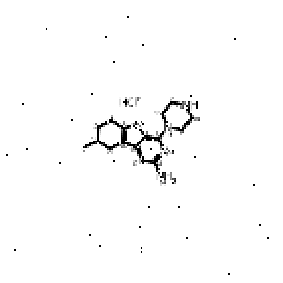 CC1CCc2sc3c(N4CCNCC4)nc(N)nc3c2C1.Cl